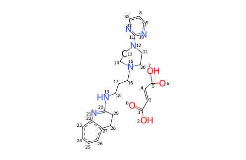 O=C(O)C=CC(=O)O.c1cnc(N2CCN(CCCNC3=Nc4ccccc4CC3)CC2)nc1